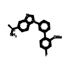 COc1cc(F)ccc1-c1cccc(-n2cnc3cc([C@H](C)N)ccc32)c1